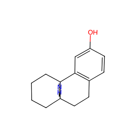 Oc1ccc2c(c1)C13CCCCC1(CCCN3)CC2